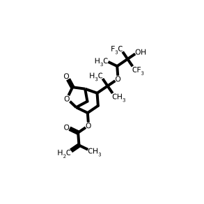 C=C(C)C(=O)OC1CC(C(C)(C)OC(C)C(O)(C(F)(F)F)C(F)(F)F)C2CC1OC2=O